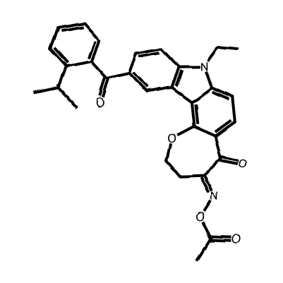 CCn1c2ccc(C(=O)c3ccccc3C(C)C)cc2c2c3c(ccc21)C(=O)/C(=N/OC(C)=O)CCO3